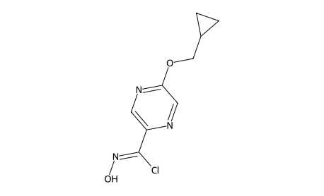 O/N=C(\Cl)c1cnc(OCC2CC2)cn1